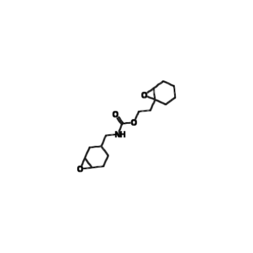 O=C(NCC1CCC2OC2C1)OCCC12CCCCC1O2